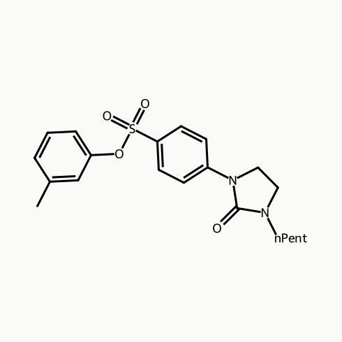 CCCCCN1CCN(c2ccc(S(=O)(=O)Oc3cccc(C)c3)cc2)C1=O